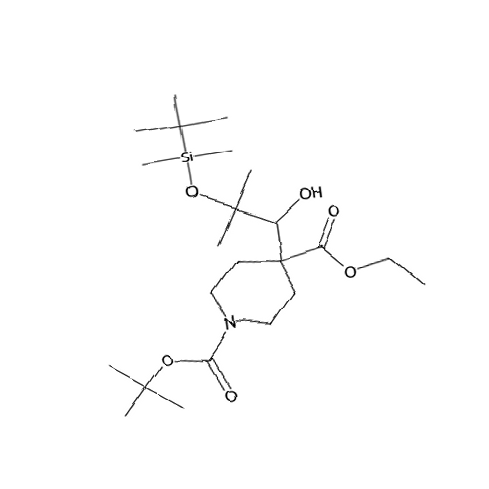 CCOC(=O)C1(C(O)C(C)(C)O[Si](C)(C)C(C)(C)C)CCN(C(=O)OC(C)(C)C)CC1